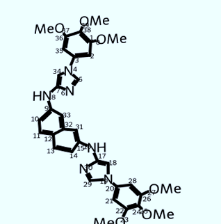 COc1cc(-n2cnc(Nc3ccc4ccc(Nc5cn(-c6cc(OC)c(OC)c(OC)c6)cn5)cc4c3)c2)cc(OC)c1OC